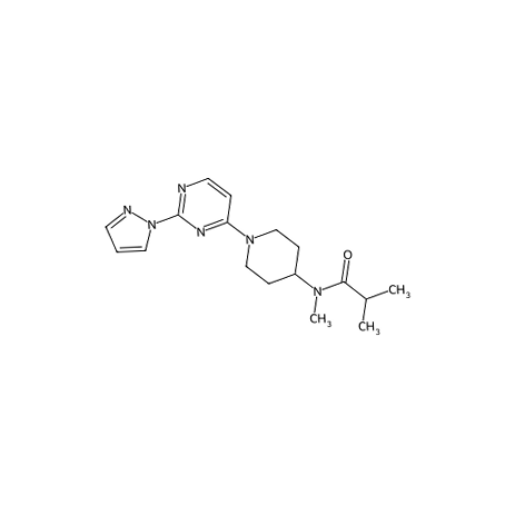 CC(C)C(=O)N(C)C1CCN(c2ccnc(-n3cccn3)n2)CC1